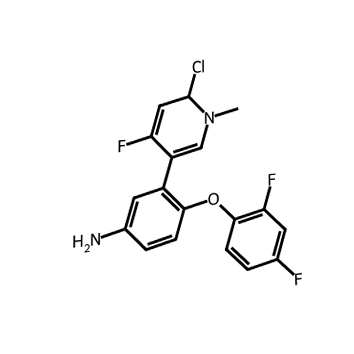 CN1C=C(c2cc(N)ccc2Oc2ccc(F)cc2F)C(F)=CC1Cl